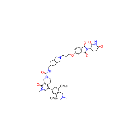 COc1cc(-c2cn(C)c(=O)c3c2CCN(C(=O)NCC2CC4CN(CCCOc5ccc6c(c5)C(=O)N(C5CCC(=O)NC5=O)C6=O)CC4C2)C3)cc(OC)c1CN(C)C